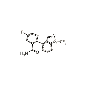 NC(=O)c1cc(F)ccc1-c1cccc2c1cnn2C(F)(F)F